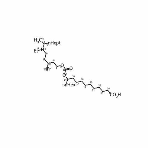 CCCCCCCC(C)N(CC)CCN(CCOC(=O)OC(CCCCCC)CCCCCCCCCC(=O)O)C(C)C